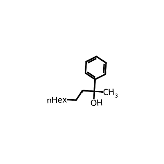 CCCCCCCC[C@@](C)(O)c1ccccc1